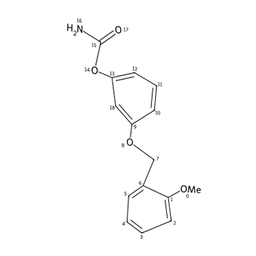 COc1ccccc1COc1cccc(OC(N)=O)c1